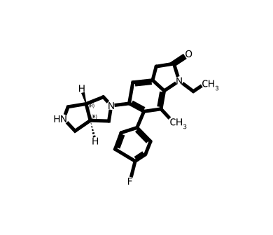 CCN1C(=O)Cc2cc(N3C[C@H]4CNC[C@@H]4C3)c(-c3ccc(F)cc3)c(C)c21